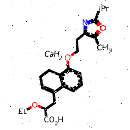 CCOC(CC1=CCCc2c(OCCc3nc(C(C)C)oc3C)cccc21)C(=O)O.[CaH2]